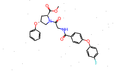 COC(=O)[C@@H]1C[C@@H](Oc2ccccc2)CN1C(=O)CNC(=O)c1ccc(Oc2ccc(F)cc2)cc1